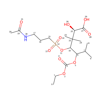 CCOC(=O)OC(C(C)C)C(OS(=O)(=O)CCCNC(C)=O)C(C)(C)[C@@H](O)C(=O)O